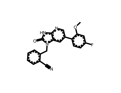 COc1cc(F)ccc1-c1cnc2[nH]c(=O)n(Cc3ccccc3C#N)c2c1